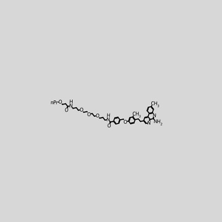 CCCOCCC(=O)NCCCOCCOCCOCCCNC(=O)c1ccc(COc2ccc(CCc3cnc4c(N)nc5cc(C)ccc5c4c3)c(C)c2)cc1